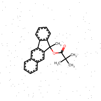 CC(C)(C)C(=O)OC1(C)c2ccccc2-c2cc3ccccc3cc21